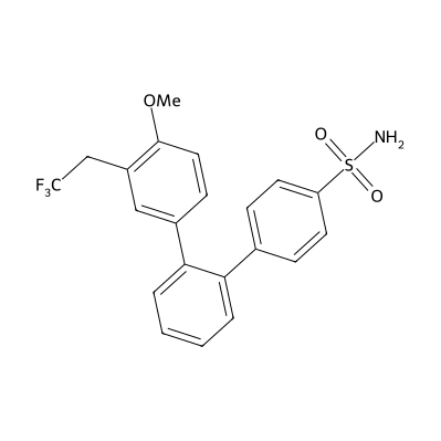 COc1ccc(-c2ccccc2-c2ccc(S(N)(=O)=O)cc2)cc1CC(F)(F)F